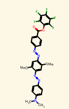 COc1cc(/N=N/c2ccc(N(C)C)cc2)c(OC)cc1/N=N/c1ccc(C(=O)Oc2c(F)c(F)c(F)c(F)c2F)cc1